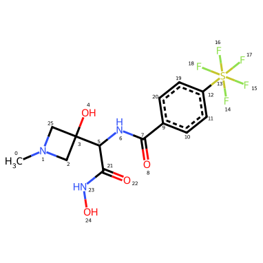 CN1CC(O)(C(NC(=O)c2ccc(S(F)(F)(F)(F)F)cc2)C(=O)NO)C1